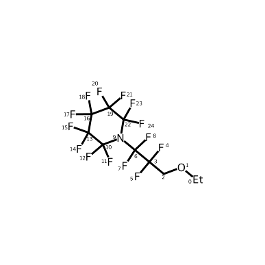 CCOCC(F)(F)C(F)(F)N1C(F)(F)C(F)(F)C(F)(F)C(F)(F)C1(F)F